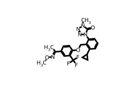 CON=C(C)c1ccc(OCc2c(C3CC3)cccc2-n2nnn(C)c2=O)c(C(F)(F)F)c1